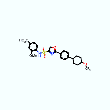 COc1cc(C(=O)O)ccc1NS(=O)(=O)c1coc(-c2ccc(C3CCC(OC(F)(F)F)CC3)cc2)n1